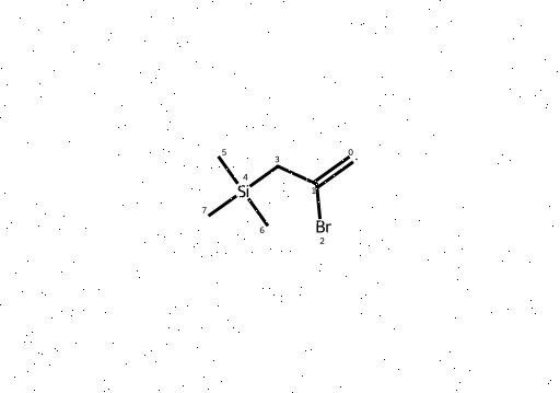 [CH]=C(Br)C[Si](C)(C)C